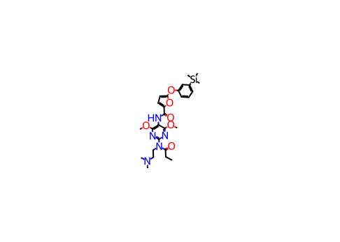 CCC(=O)N(CCN(C)C)c1nc(OC)c(NC(=O)c2ccc(Oc3cccc([Si](C)(C)C)c3)o2)c(OC)n1